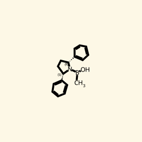 CB(O)N1[C@@H](c2ccccc2)CC[C@H]1c1ccccc1